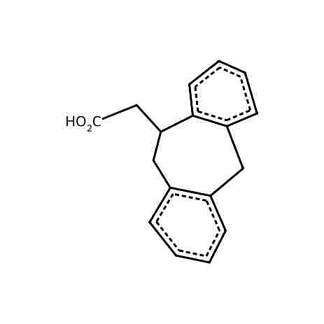 O=C(O)CC1Cc2ccccc2Cc2ccccc21